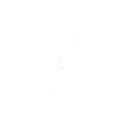 O=C(Cc1ccc(F)cc1)N[C@@H]1CCC[C@H]1N1CCC(Cc2ccc(Cl)cc2)CC1